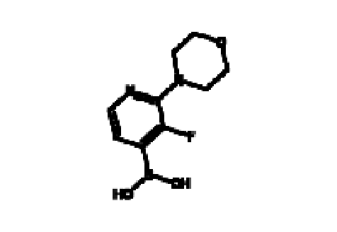 OB(O)c1ccnc(N2CCOCC2)c1F